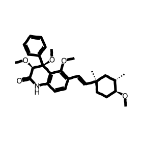 COc1c(/C=C/[C@]2(C)CC[C@H](OC)[C@@H](C)C2)ccc2c1[C@@](OC)(c1ccccc1)[C@H](OC)C(=O)N2